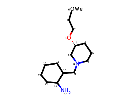 COCCO[C@@H]1CCCN(CC2CCCCC2N)C1